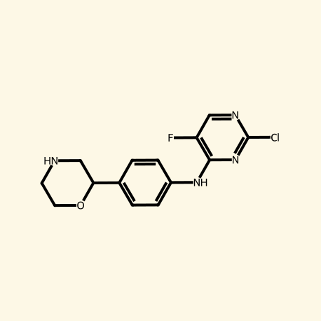 Fc1cnc(Cl)nc1Nc1ccc(C2CNCCO2)cc1